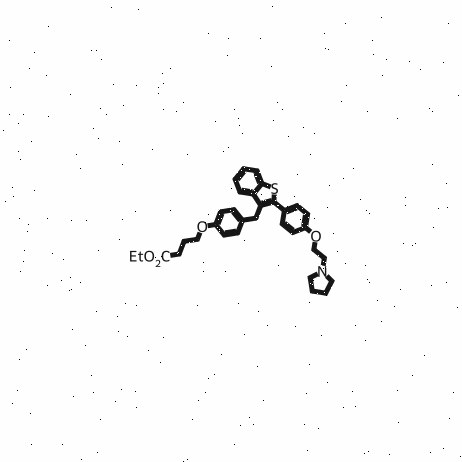 CCOC(=O)CCCOc1ccc(Cc2c(-c3ccc(OCCN4CCCC4)cc3)sc3ccccc23)cc1